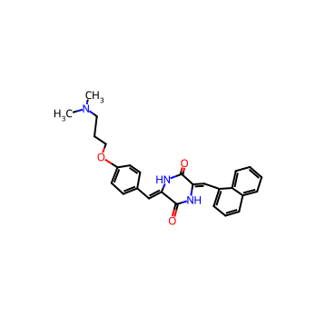 CN(C)CCCOc1ccc(/C=c2\[nH]c(=O)/c(=C/c3cccc4ccccc34)[nH]c2=O)cc1